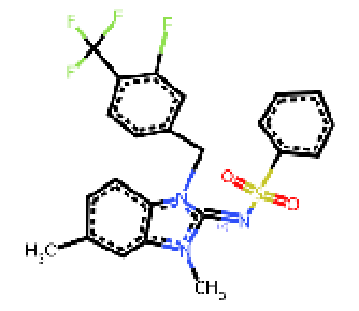 Cc1ccc2c(c1)n(C)/c(=N/S(=O)(=O)c1ccccc1)n2Cc1ccc(C(F)(F)F)c(F)c1